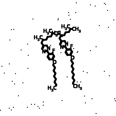 CCCCCCCCCCOc1ccc(-c2ncc(CC(C)CCCC(C)C)cn2)c(F)c1.CCCCCCCCCOc1ccc(-c2ncc(CC(C)CCCC(C)C)cn2)c(F)c1